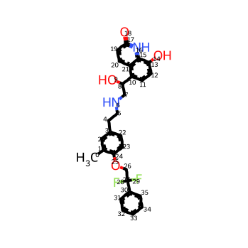 Cc1cc(CCNCC(O)c2ccc(O)c3[nH]c(=O)ccc23)ccc1OCC(F)(F)c1ccccc1